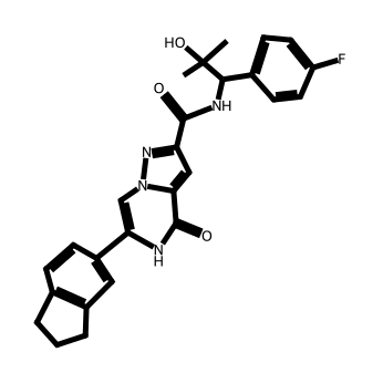 CC(C)(O)C(NC(=O)c1cc2c(=O)[nH]c(-c3ccc4c(c3)CCC4)cn2n1)c1ccc(F)cc1